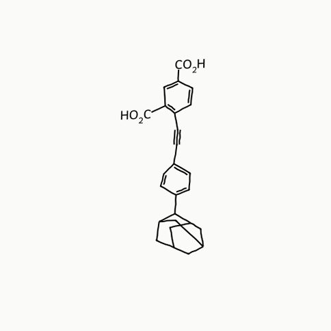 O=C(O)c1ccc(C#Cc2ccc(C3C4CC5CC(C4)CC3C5)cc2)c(C(=O)O)c1